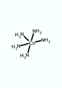 [NH2][Co]([NH2])([NH2])([NH2])[NH2]